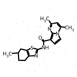 Cc1cc(C)n2ccc(C(=O)Nc3nc4c(s3)CC(C)CC4)c2n1